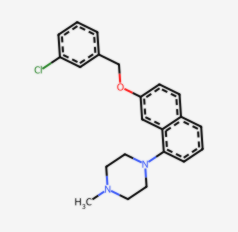 CN1CCN(c2cccc3ccc(OCc4cccc(Cl)c4)cc23)CC1